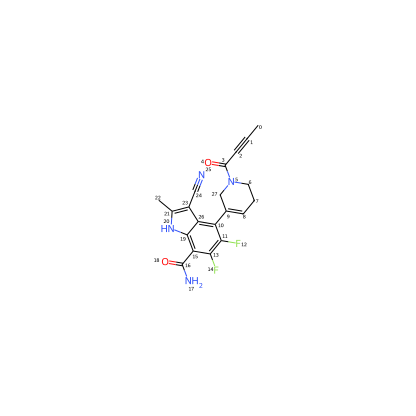 CC#CC(=O)N1CCC=C(c2c(F)c(F)c(C(N)=O)c3[nH]c(C)c(C#N)c23)C1